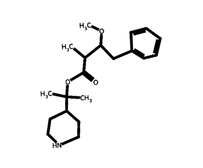 COC(Cc1ccccc1)C(C)C(=O)OC(C)(C)C1CCNCC1